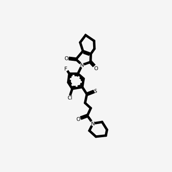 O=C(CCC(=S)c1cc(N2C(=O)C3=C(CCCC3)C2=O)c(F)cc1Cl)N1CCCCC1